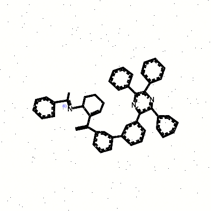 C=C(C1=CCCCC1/N=C(\C)c1ccccc1)c1cccc(-c2cccc(-c3nc(-c4ccccc4)c(-c4ccccc4)nc3-c3ccccc3)c2)c1